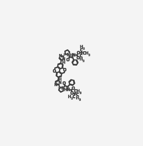 CC(C)(C)OC(=O)N[C@@H](C(=O)N1CCC[C@H]1c1ncc(-c2cc3c4c(c2)OCc2cc(-c5cnc([C@@H]6CCCN6C(=O)[C@H](NC(=O)OC(C)(C)C)c6ccccc6)[nH]5)cc(c2-4)OC3)[nH]1)c1ccccc1